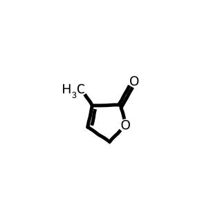 CC1=CCOC1=O